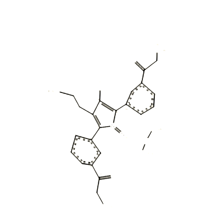 CCCCCCCCCCCCC1=C(c2cccc(C(=O)CCCCCCCCCCC)c2)[N+](=[N-])C(c2cccc(C(=O)CCCCCCCCCCC)c2)=C1CCCC.CCCCC[CH2][Pd][CH2]CCCCC